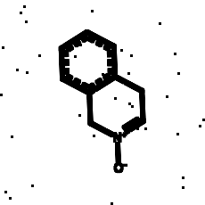 [O-][N+]1=CCc2ccccc2C1